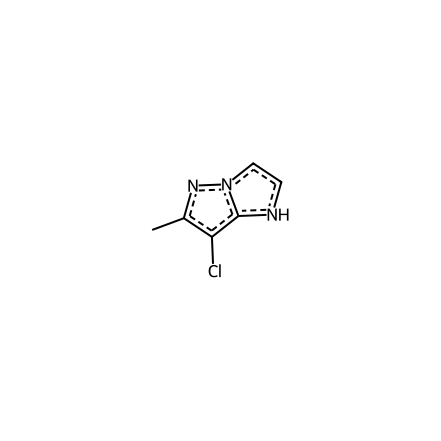 Cc1nn2cc[nH]c2c1Cl